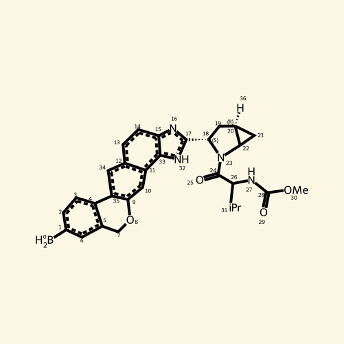 Bc1ccc2c(c1)COc1cc3c(ccc4nc([C@@H]5C[C@H]6CC6N5C(=O)C(NC(=O)OC)C(C)C)[nH]c43)cc1-2